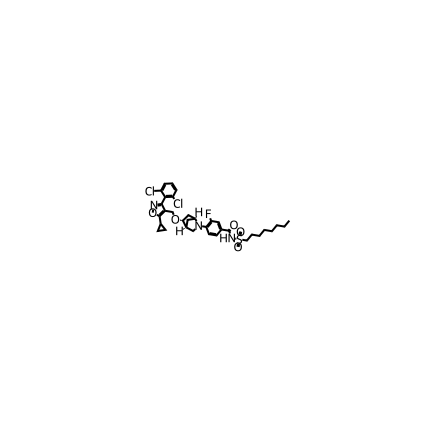 CCCCCCCCS(=O)(=O)NC(=O)c1ccc(N2C[C@@H]3C[C@H]2C[C@H]3OCc2c(-c3c(Cl)cccc3Cl)noc2C2CC2)c(F)c1